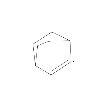 [C]1=CC2CCC1CC2